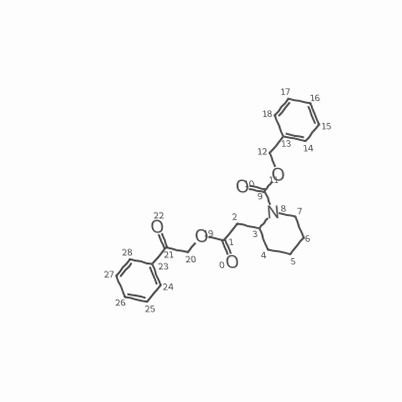 O=C(CC1CCCCN1C(=O)OCc1ccccc1)OCC(=O)c1ccccc1